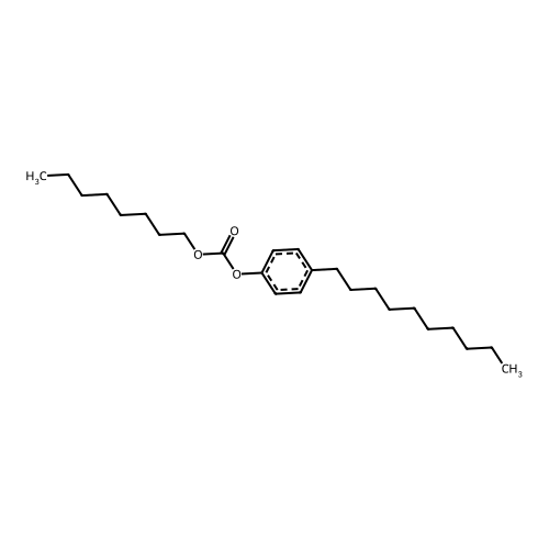 CCCCCCCCCCc1ccc(OC(=O)OCCCCCCCC)cc1